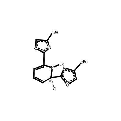 CC(C)(C)c1coc(C2=CC=C[C@](Cl)(c3nc(C(C)(C)C)co3)[N]2[Co])n1